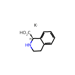 O=C(O)[C@@H]1NCCc2ccccc21.[K]